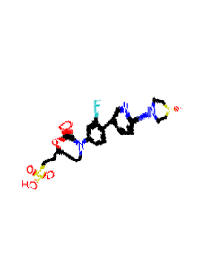 O=C1OC(CCS(=O)(=O)O)CN1c1ccc(-c2ccc(N3CC[S+]([O-])CC3)nc2)c(F)c1